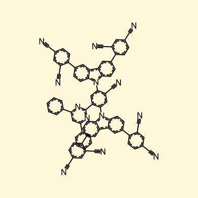 N#Cc1ccc(-c2ccc3c(c2)c2cc(-c4ccc(C#N)cc4C#N)ccc2n3-c2cc(-c3nc(-c4ccccc4)cc(-c4ccccc4)n3)c(-n3c4ccc(-c5ccc(C#N)cc5C#N)cc4c4cc(-c5ccc(C#N)cc5C#N)ccc43)cc2C#N)c(C#N)c1